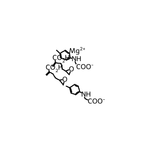 C=C(CCC1CO1)C(=O)O.C=C(CCC1CO1)C(=O)O.Cc1ccc(NCC(=O)[O-])cc1.Cc1ccc(NCC(=O)[O-])cc1.[Mg+2]